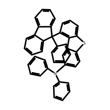 c1ccc(N(c2ccccc2)c2ccc3sc4cccc(C5(c6ccccc6)c6ccccc6-c6ccccc65)c4c3c2)cc1